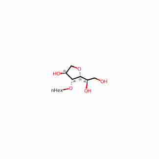 CCCCCCO[C@H]1[C@@H]([C@H](O)CO)OC[C@@H]1O